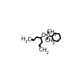 C=CCC(CC=C)O[Si](C)(C)C1CCCCC1